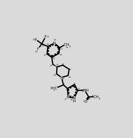 CC(=O)Nc1cc(C(C)N2CCC[C@H](Cc3cc(C)nc(C(F)(F)F)c3)C2)n[nH]1